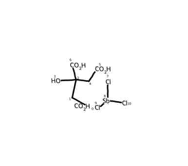 O=C(O)CC(O)(CC(=O)O)C(=O)O.[Cl][Sb]([Cl])[Cl]